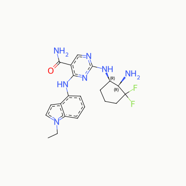 CCn1ccc2c(Nc3nc(N[C@@H]4CCCC(F)(F)[C@@H]4N)ncc3C(N)=O)cccc21